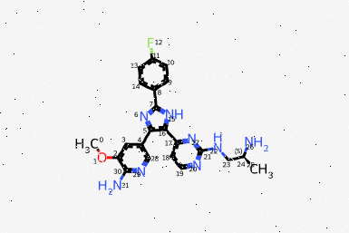 COc1cc(-c2nc(-c3ccc(F)cc3)[nH]c2-c2ccnc(NC[C@H](C)N)n2)cnc1N